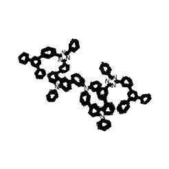 c1ccc(-c2cc(-c3ccccc3)cc(-c3cccc(-c4nc(-c5ccccc5)nc(-c5cccc(-c6cccc7c6c6cc(-c8cccc(N(c9ccccc9)c9cccc(-c%10ccc%11c(c%10)c%10c(-c%12cccc(-c%13nc(-c%14ccccc%14)nc(-c%14cccc(-c%15cc(-c%16ccccc%16)cc(-c%16ccccc%16)c%15)c%14)n%13)c%12)cccc%10n%11-c%10ccccc%10)c9)c8)ccc6n7-c6ccccc6)c5)n4)c3)c2)cc1